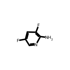 Nc1ncc(F)cc1F